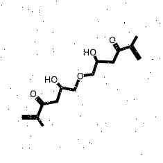 C=C(C)C(=O)CC(O)COCC(O)CC(=O)C(=C)C